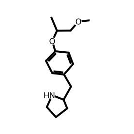 COCC(C)Oc1ccc(CC2CCCN2)cc1